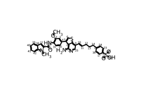 COc1cc(-c2csc3c(C=CCCCc4ccc(S(=O)(=O)O)cc4)cnc(N)c23)ccc1NC(=O)c1cc2ccccc2n1C